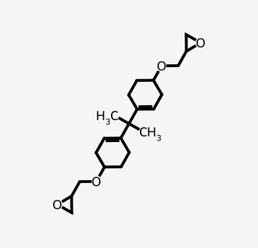 CC(C)(C1=CCC(OCC2CO2)CC1)C1=CCC(OCC2CO2)CC1